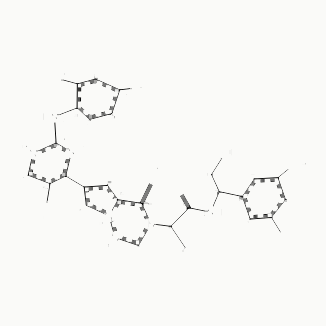 CC(C(=O)NC(CO)c1cc(F)cc(Cl)c1)n1cnn2cc(-c3nc(Nc4ccc(F)cc4Cl)ncc3Cl)cc2c1=O